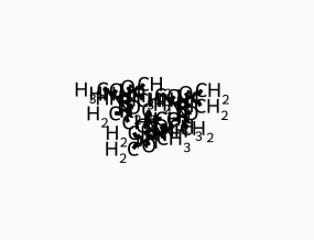 C=CCN(CC=C)C(=O)c1c(I)c(C(=O)N(CC=C)CC=C)c(I)c(N(C)C(=O)NCC)c1I.C=CCN(CC=C)C(=O)c1c(I)c(NC(=O)NCC)c(I)c(C(=O)N(CC=C)CC=C)c1I.C=CCN(CC=C)C(=O)c1c(I)c(NC(=O)NCC)c(I)c(C(=O)N(CC=C)CC=C)c1I